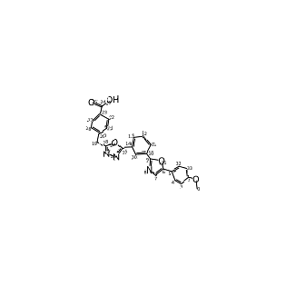 COc1ccc(-c2cnc(-c3cccc(-c4nnc(Cc5ccc(C(=O)O)cc5)o4)c3)o2)cc1